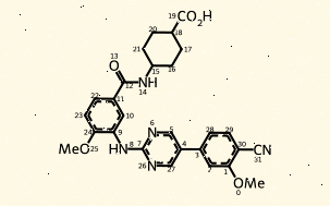 COc1cc(-c2cnc(Nc3cc(C(=O)NC4CCC(C(=O)O)CC4)ccc3OC)nc2)ccc1C#N